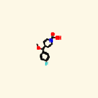 COC(c1ccc(F)cc1)C1CCN(C(=O)O)CC1